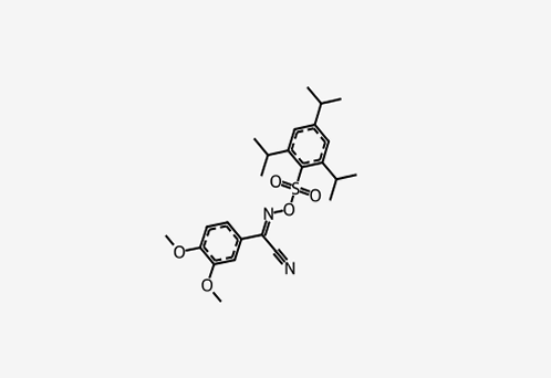 COc1ccc(C(C#N)=NOS(=O)(=O)c2c(C(C)C)cc(C(C)C)cc2C(C)C)cc1OC